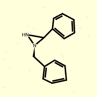 c1ccc(C[N@@]2NC2c2ccccc2)cc1